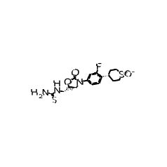 NC(=S)NC[C@H]1CN(c2ccc([C@H]3CC[S@+]([O-])CC3)c(F)c2)C(=O)O1